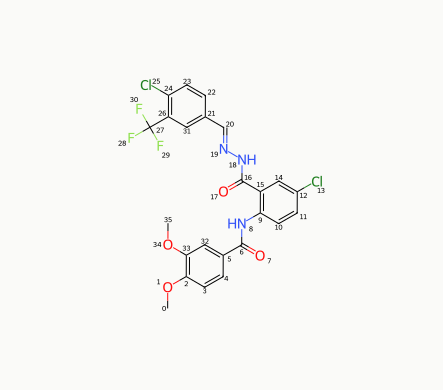 COc1ccc(C(=O)Nc2ccc(Cl)cc2C(=O)N/N=C/c2ccc(Cl)c(C(F)(F)F)c2)cc1OC